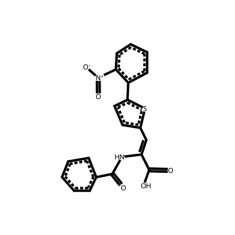 O=C(O)/C(=C/c1ccc(-c2ccccc2[N+](=O)[O-])s1)NC(=O)c1ccccc1